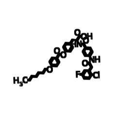 CCCCCCCOc1ccc(C(=O)Oc2ccc(C[C@H](NC(=O)c3ccc(NC(=O)Cc4cc(F)ccc4Cl)cc3)C(=O)O)cc2)cc1